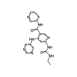 CCNC(=O)Nc1cc(Nc2cncnc2)c(C(=O)Nc2cccnc2)cn1